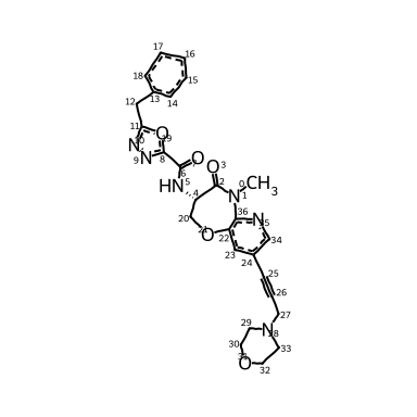 CN1C(=O)[C@@H](NC(=O)c2nnc(Cc3ccccc3)o2)COc2cc(C#CCN3CCOCC3)cnc21